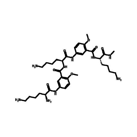 CNC(=O)[C@H](CCCCN)NC(=O)c1cc(NC(=O)[C@H](CCCCN)NC(=O)c2cc(NC(=O)[C@@H](N)CCCCN)ccc2OC)ccc1OC